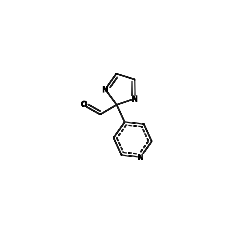 O=CC1(c2ccncc2)N=CC=N1